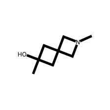 CN1CC2(C1)CC(C)(O)C2